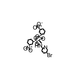 O=[N+]([O-])c1cccc(S(=O)(=O)C(=CNc2ccc(Br)cn2)S(=O)(=O)c2cccc([N+](=O)[O-])c2)c1